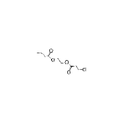 CCCC(=O)OCCOC(=O)CCCl